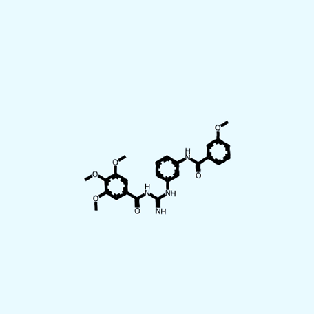 COc1cccc(C(=O)Nc2cccc(NC(=N)NC(=O)c3cc(OC)c(OC)c(OC)c3)c2)c1